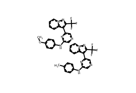 COc1ccc(Nc2cncc(-c3c(C(F)(F)F)nn4ccccc34)n2)cc1.Cc1ccc(Nc2cncc(-c3c(C(F)(F)F)nn4ccccc34)n2)cc1